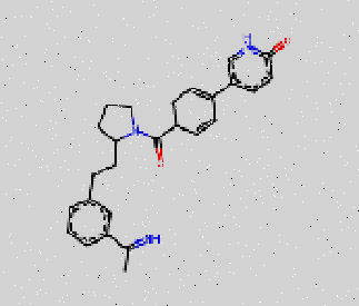 CC(=N)c1cccc(CCC2CCCN2C(=O)C2C=CC(c3ccc(=O)[nH]c3)=CC2)c1